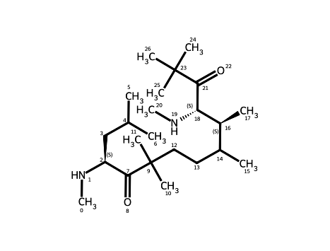 CN[C@@H](CC(C)C)C(=O)C(C)(C)CCC(C)[C@H](C)[C@H](NC)C(=O)C(C)(C)C